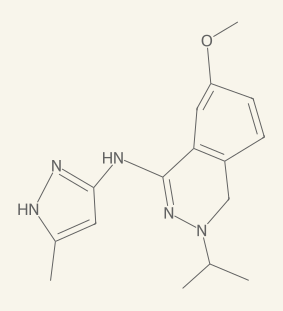 COc1ccc2c(c1)C(Nc1cc(C)[nH]n1)=NN(C(C)C)C2